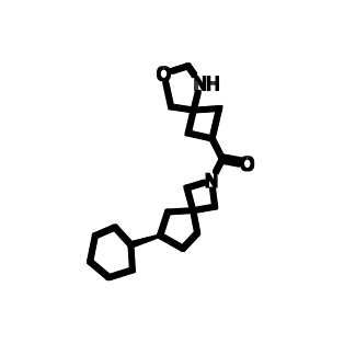 O=C(C1CC2(COCN2)C1)N1CC2(CC[C@@H](C3CCCCC3)C2)C1